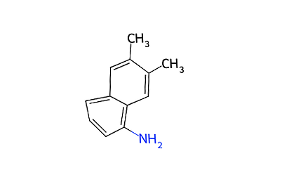 Cc1cc2cccc(N)c2cc1C